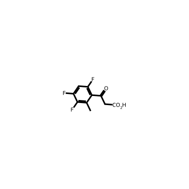 Cc1c(F)c(F)cc(F)c1C(=O)CC(=O)O